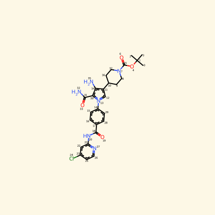 CC(C)(C)OC(=O)N1CCC(c2cn(-c3ccc(C(=O)Nc4cc(Cl)ccn4)cc3)c(C(N)=O)c2N)CC1